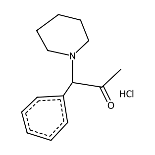 CC(=O)C(c1ccccc1)N1CCCCC1.Cl